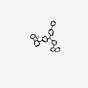 C1=Cc2c(cccc2-c2cccc(N(c3ccc(-c4ccccc4)cc3)c3ccc(-c4cccc5c4oc4ccccc45)cc3)c2)CC1